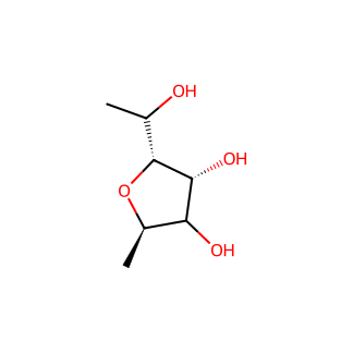 CC(O)[C@H]1O[C@H](C)C(O)[C@H]1O